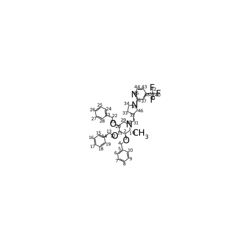 C[C@@H]1[C@@H](OCc2ccccc2)[C@H](OCc2ccccc2)[C@@H](OCc2ccccc2)CN1C[C@H]1CCN(c2cc(C(F)(F)F)ccn2)C1